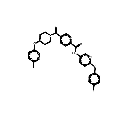 Cc1ccc(OC2CCN(C(=O)c3ccc(C(=O)Nc4ccc(Oc5ccc(F)cc5)nc4)nc3)CC2)cc1